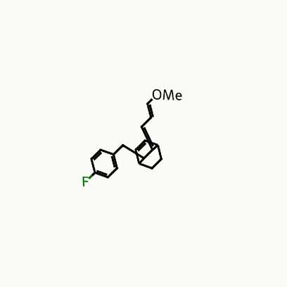 COC=CC=C1C2C=CC(CC2)C1Cc1ccc(F)cc1